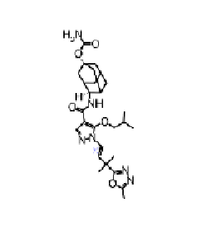 Cc1nnc(C(C)(C)/C=C/n2ncc(C(=O)N[C@H]3C4CC5CC3C[C@](OC(N)=O)(C5)C4)c2OCC(C)C)o1